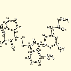 C=CC(=O)Nc1cc(O)cc(-c2nn(CCN(C(=O)C(=C)C#N)c3ccccc3)c3ncnc(N)c23)c1